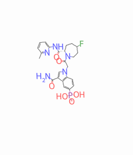 Cc1cccc(NC(=O)[C@@H]2CCC(F)CCN2C(=O)Cn2cc(C(N)=O)c3cc(P(=O)(O)O)ccc32)n1